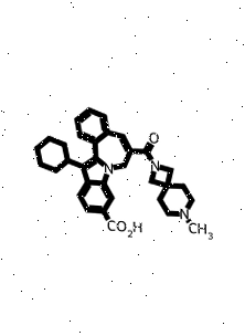 CN1CCC2(CC1)CN(C(=O)C1=Cc3ccccc3-c3c(C4CCCCC4)c4ccc(C(=O)O)cc4n3C1)C2